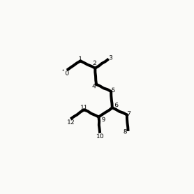 [CH2]CC(C)CCC(CC)C(C)CC